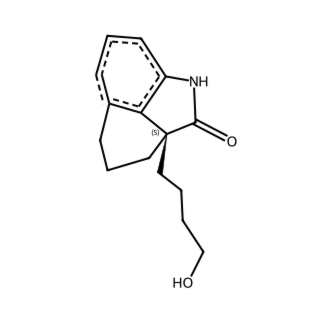 O=C1Nc2cccc3c2[C@@]1(CCCCO)CCC3